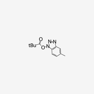 Cc1ccc2c(c1)nnn2OC(=O)C(C)(C)C